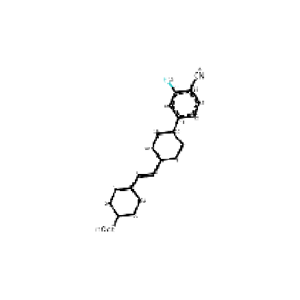 CCCCCCCCC1CCC(/C=C/C2CCC(c3ccc(C#N)c(F)c3)CC2)CC1